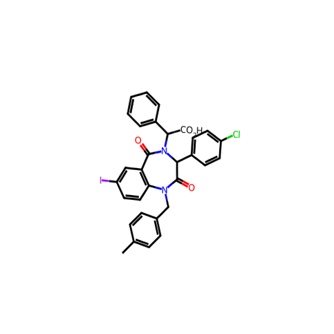 Cc1ccc(CN2C(=O)C(c3ccc(Cl)cc3)N(C(C(=O)O)c3ccccc3)C(=O)c3cc(I)ccc32)cc1